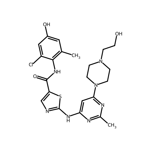 Cc1nc(Nc2ncc(C(=O)Nc3c(C)cc(O)cc3Cl)s2)cc(N2CCN(CCO)CC2)n1